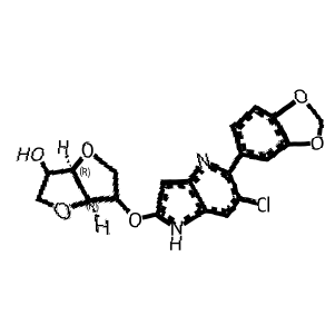 OC1CO[C@@H]2C(Oc3cc4nc(-c5ccc6c(c5)OCO6)c(Cl)cc4[nH]3)CO[C@H]12